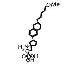 COCCCCC[C@H]1CCc2cc([C@H]3CC[C@](N)(COP(=O)(O)O)C3)ccc2C1